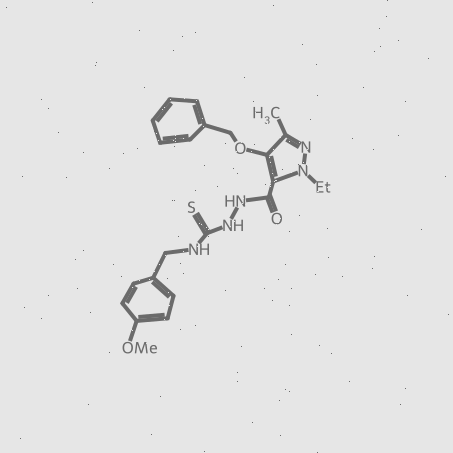 CCn1nc(C)c(OCc2ccccc2)c1C(=O)NNC(=S)NCc1ccc(OC)cc1